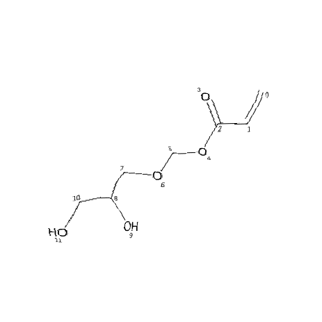 C=CC(=O)OCOCC(O)CO